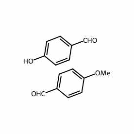 COc1ccc(C=O)cc1.O=Cc1ccc(O)cc1